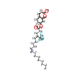 CCCCCCCC/C=C\CCCCC(CCC(=O)Oc1ccc2ccc(=O)oc2c1)C(F)(F)F